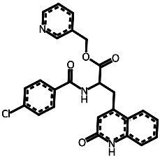 O=C(NC(Cc1cc(=O)[nH]c2ccccc12)C(=O)OCc1cccnc1)c1ccc(Cl)cc1